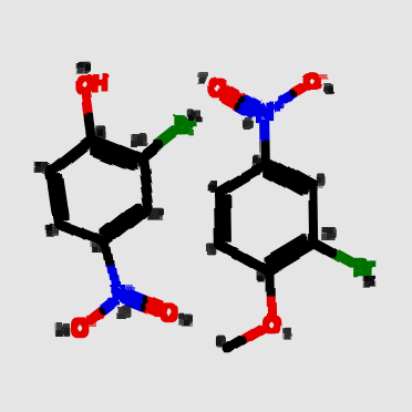 COc1ccc([N+](=O)[O-])cc1Br.O=[N+]([O-])c1ccc(O)c(Br)c1